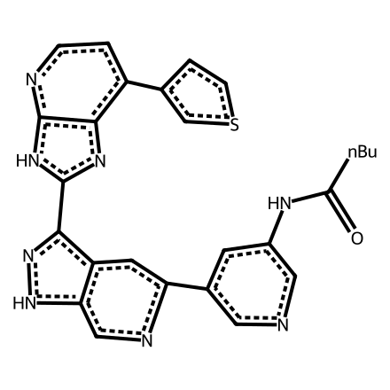 CCCCC(=O)Nc1cncc(-c2cc3c(-c4nc5c(-c6ccsc6)ccnc5[nH]4)n[nH]c3cn2)c1